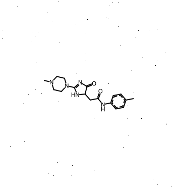 Cc1ccc(NC(=O)CC2NC(N3CCN(C)CC3)=NC2=O)cc1